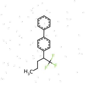 CCCC(c1ccc(-c2ccccc2)cc1)C(F)(F)F